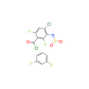 Fc1cccc(F)c1.O=C(Cl)c1c(F)cc(Cl)c(N=S(=O)=O)c1F